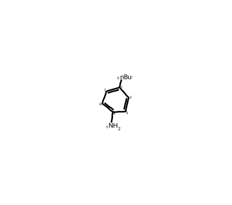 CCC[CH]c1ccc(N)cc1